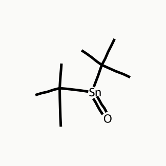 C[C](C)(C)[Sn](=[O])[C](C)(C)C